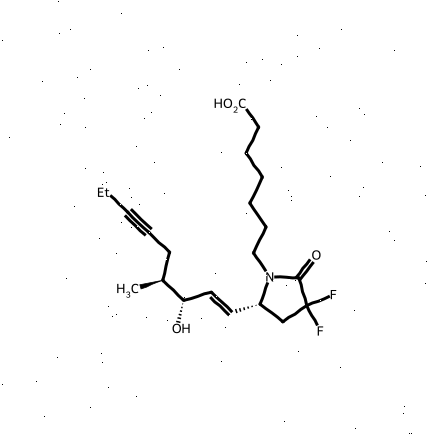 CCC#CC[C@H](C)[C@@H](O)C=C[C@H]1CC(F)(F)C(=O)N1CCCCCCC(=O)O